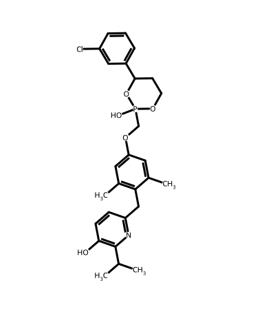 Cc1cc(OC[P]2(O)OCCC(c3cccc(Cl)c3)O2)cc(C)c1Cc1ccc(O)c(C(C)C)n1